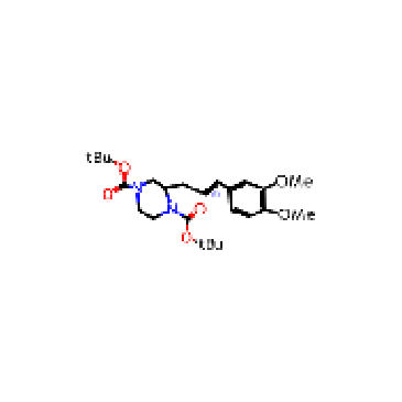 COc1ccc(/C=C/CC2CN(C(=O)OC(C)(C)C)CCN2C(=O)OC(C)(C)C)cc1OC